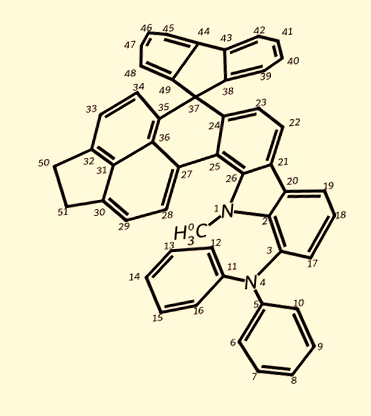 Cn1c2c(N(c3ccccc3)c3ccccc3)cccc2c2ccc3c(c21)-c1ccc2c4c(ccc(c14)C31c3ccccc3-c3ccccc31)CC2